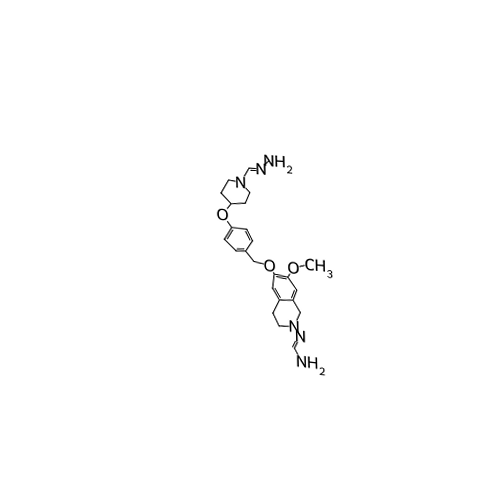 COc1cc2c(cc1OCc1ccc(OC3CCN(C=NN)CC3)cc1)CCN(N=CN)C2